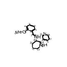 COc1ccccc1CN[C@H]1CCCN[C@H]1c1cccnc1